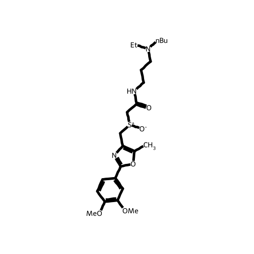 CCCCN(CC)CCCNC(=O)C[S+]([O-])Cc1nc(-c2ccc(OC)c(OC)c2)oc1C